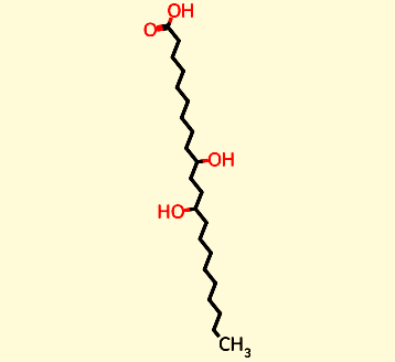 CCCCCCCCCC(O)CCC(O)CCCCCCCCC(=O)O